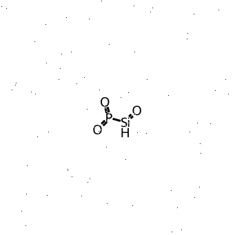 O=[SiH]P(=O)=O